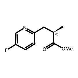 COC(=O)[C@H](C)Cc1ccc(F)cn1